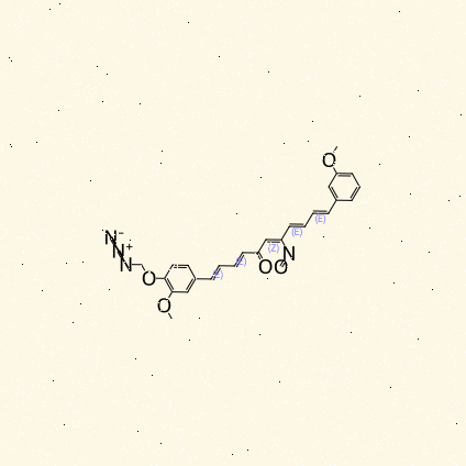 COc1cccc(/C=C/C=C/C(=C/C(=O)/C=C/C=C/c2ccc(OCN=[N+]=[N-])c(OC)c2)N=O)c1